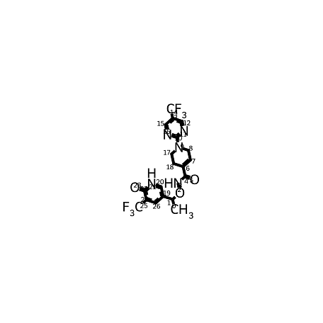 CC(ONC(=O)C1=CCN(c2ncc(C(F)(F)F)cn2)CC1)c1c[nH]c(=O)c(C(F)(F)F)c1